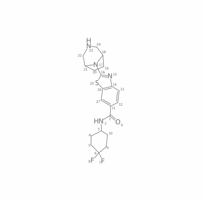 O=C(NC1CCC(F)(F)CC1)c1ccc2nc(N3C4CCC3CNC4)sc2c1